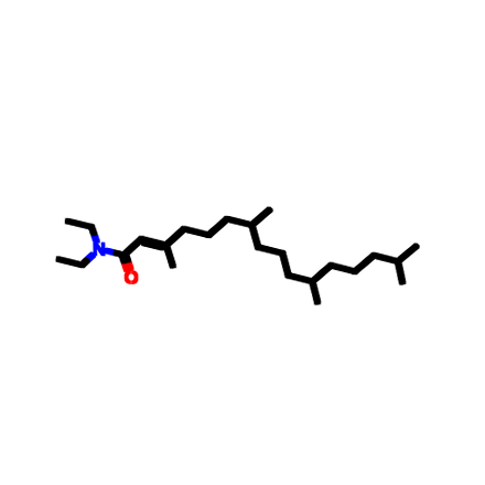 CCN(CC)C(=O)/C=C(\C)CCCC(C)CCCC(C)CCCC(C)C